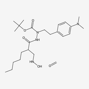 C=O.CCCCCC(CNO)C(=O)NN(CCc1ccc(N(C)C)cc1)C(=O)OC(C)(C)C